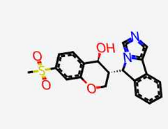 CS(=O)(=O)c1ccc2c(c1)OC[C@@H](C1c3ccccc3-c3cncn31)[C@@H]2O